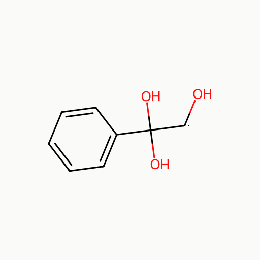 O[CH]C(O)(O)c1ccccc1